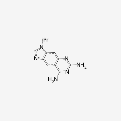 CC(C)n1cnc2cc3c(N)nc(N)nc3cc21